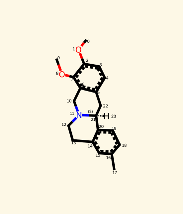 COc1ccc2c(c1OC)CN1CCc3cc(C)ccc3[C@@H]1C2